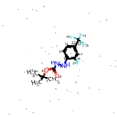 CC(C)(C)OC(=O)NNc1ccc(C(F)(F)F)cc1F